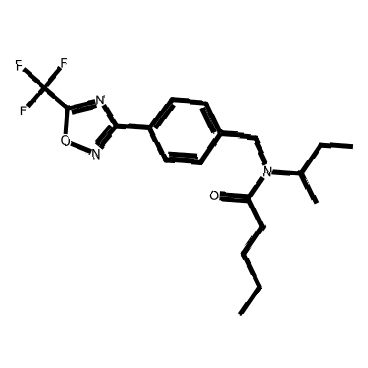 CCCCC(=O)N(Cc1ccc(-c2noc(C(F)(F)F)n2)cc1)C(C)CC